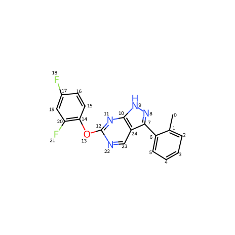 Cc1ccccc1-c1n[nH]c2nc(Oc3ccc(F)cc3F)ncc12